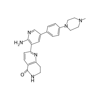 CN1CCN(c2ccc(-c3cnc(N)c(-c4ccc5c(n4)CCNC5=O)c3)cc2)CC1